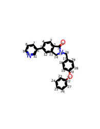 O=C1c2ccc(-c3cccnc3)cc2CN1Cc1ccc(Oc2ccccc2)cc1